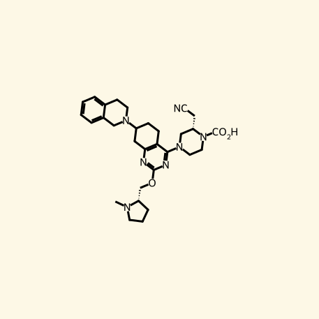 CN1CCC[C@H]1COc1nc2c(c(N3CCN(C(=O)O)[C@@H](CC#N)C3)n1)CCC(N1CCc3ccccc3C1)C2